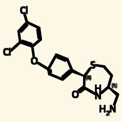 NC[C@@H]1CCS[C@H](c2ccc(Oc3ccc(Cl)cc3Cl)cc2)C(=O)N1